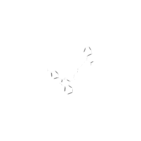 COC(=O)C(OCCCCOc1nc(-c2ccc(Cl)cc2)nc2ccccc12)c1ccccc1